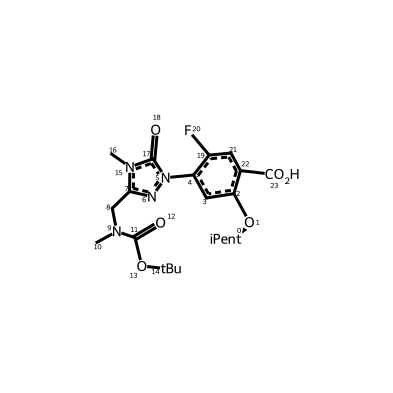 CCC[C@H](C)Oc1cc(-n2nc(CN(C)C(=O)OC(C)(C)C)n(C)c2=O)c(F)cc1C(=O)O